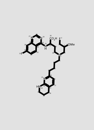 COC(CF)CN(CCCCc1ccc2c(n1)NCCC2)CCC(Nc1ncnc2cc(F)ccc12)C(=O)O